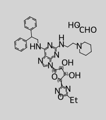 CCc1nc([C@H]2O[C@@H](n3cnc4c(NCC(c5ccccc5)c5ccccc5)nc(NCCN5CCCCC5)nc43)[C@H](O)[C@@H]2O)no1.O=CO